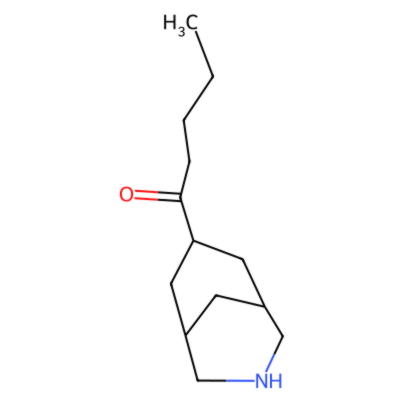 CCCCC(=O)C1CC2CNCC(C2)C1